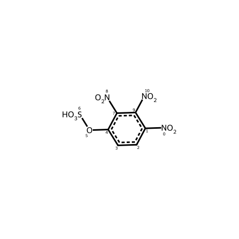 O=[N+]([O-])c1ccc(OS(=O)(=O)O)c([N+](=O)[O-])c1[N+](=O)[O-]